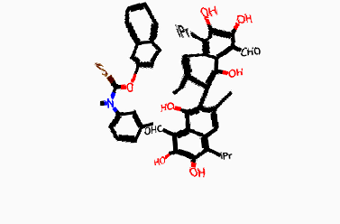 Cc1cc2c(C(C)C)c(O)c(O)c(C=O)c2c(O)c1-c1c(C)cc2c(C(C)C)c(O)c(O)c(C=O)c2c1O.Cc1cccc(N(C)C(=S)Oc2ccc3ccccc3c2)c1